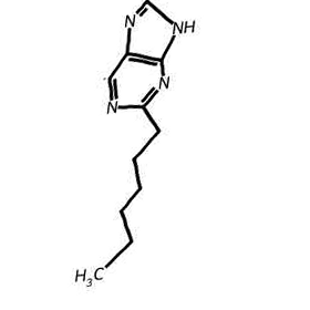 CCCCCCc1n[c]c2nc[nH]c2n1